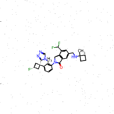 Cn1cnnc1[C@]1(c2cccc(N3Cc4c(cc(CNC5(C)CCC5)cc4C(F)F)C3=O)c2)C[C@H](F)C1